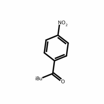 CCC(C)C(=O)c1ccc([N+](=O)[O-])cc1